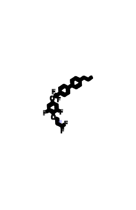 CCCc1ccc(-c2ccc(C(F)(F)Oc3cc(F)c(O/C=C/C(F)F)c(F)c3)cc2)cc1